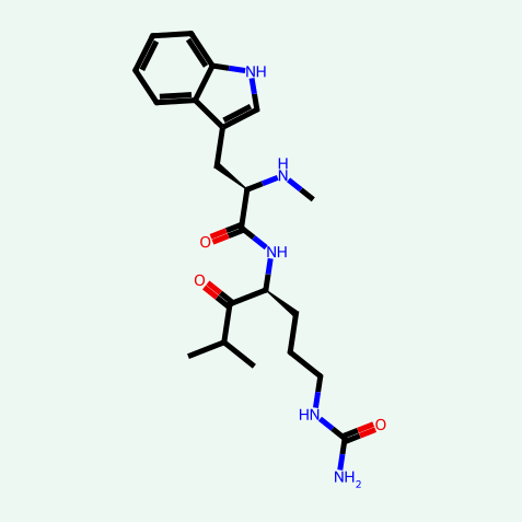 CN[C@H](Cc1c[nH]c2ccccc12)C(=O)N[C@@H](CCCNC(N)=O)C(=O)C(C)C